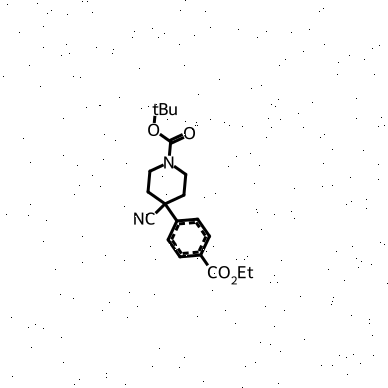 CCOC(=O)c1ccc(C2(C#N)CCN(C(=O)OC(C)(C)C)CC2)cc1